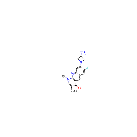 CCn1cc(C(=O)O)c(=O)c2cc3cc(F)c(N4CC(N)C4)cc3nc21